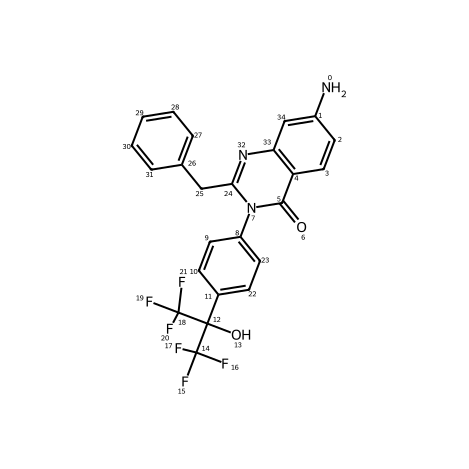 Nc1ccc2c(=O)n(-c3ccc(C(O)(C(F)(F)F)C(F)(F)F)cc3)c(Cc3ccccc3)nc2c1